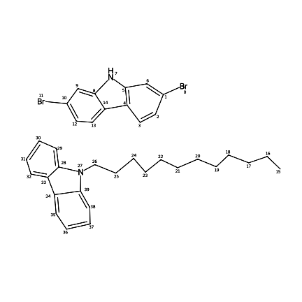 Brc1ccc2c(c1)[nH]c1cc(Br)ccc12.CCCCCCCCCCCCn1c2ccccc2c2ccccc21